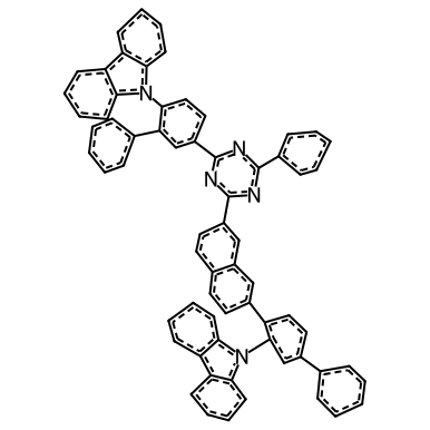 c1ccc(-c2ccc(-c3ccc4ccc(-c5nc(-c6ccccc6)nc(-c6ccc(-n7c8ccccc8c8ccccc87)c(-c7ccccc7)c6)n5)cc4c3)c(-n3c4ccccc4c4ccccc43)c2)cc1